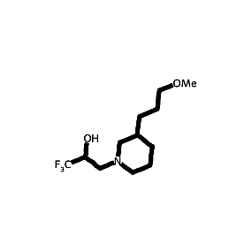 COCCCC1CCCN(CC(O)C(F)(F)F)C1